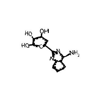 Nc1nc(-c2cc(O)c(O)c(O)c2)nc2ccccc12